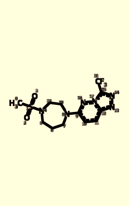 CS(=O)(=O)N1CCCN(c2ccc3nnc(C(F)(F)F)n3n2)CC1